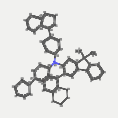 CC1(C)c2ccccc2-c2cc(-c3cccc4c3CCCC4)c(N(c3ccc(-c4ccccc4)cc3)c3ccc(-c4cccc5ccccc45)cc3)cc21